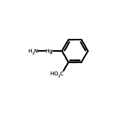 [NH2][Hg][c]1ccccc1C(=O)O